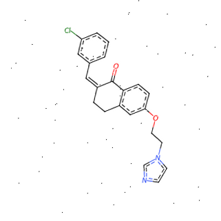 O=C1C(=Cc2cccc(Cl)c2)CCc2cc(OCCn3ccnc3)ccc21